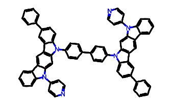 c1ccc(-c2ccc3c(c2)c2cc4c5ccccc5n(-c5ccncc5)c4cc2n3-c2ccc(-c3ccc(-n4c5ccc(-c6ccccc6)cc5c5cc6c7ccccc7n(-c7ccncc7)c6cc54)cc3)cc2)cc1